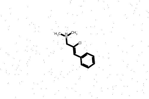 C[SiH](C)CC(Cl)=Cc1ccccc1